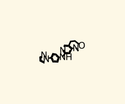 CN1C(=O)CCc2cnc(Nc3ccc(-n4cccn4)cc3)cc21